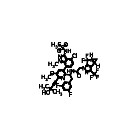 COc1cc(-c2ccc(Cl)c3c(NS(C)(=O)=O)nn(C)c23)c(C(Cc2cc(F)cc(F)c2)NC(=O)Cn2nc(C(F)(F)F)c3c2C(F)(F)[C@@H]2C[C@H]32)nc1C#CC(C)(C)O